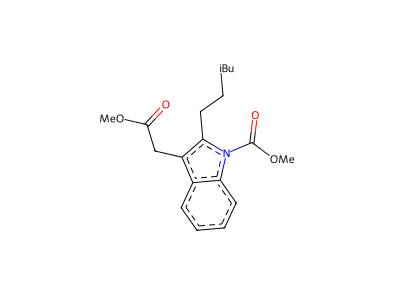 CCC(C)CCc1c(CC(=O)OC)c2ccccc2n1C(=O)OC